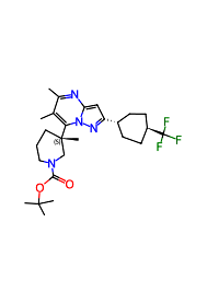 Cc1nc2cc([C@H]3CC[C@H](C(F)(F)F)CC3)nn2c([C@@]2(C)CCCN(C(=O)OC(C)(C)C)C2)c1C